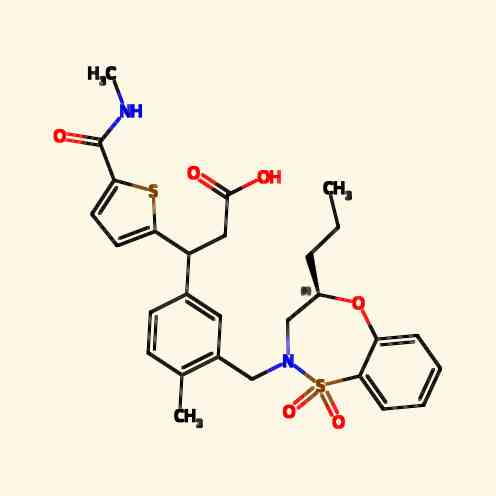 CCC[C@@H]1CN(Cc2cc(C(CC(=O)O)c3ccc(C(=O)NC)s3)ccc2C)S(=O)(=O)c2ccccc2O1